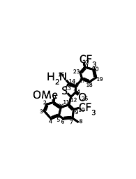 COc1cccc2cc(C)c(C(F)(F)F)c(C3SC(N)=C(c4cccc(C(F)(F)F)c4)C3=O)c12